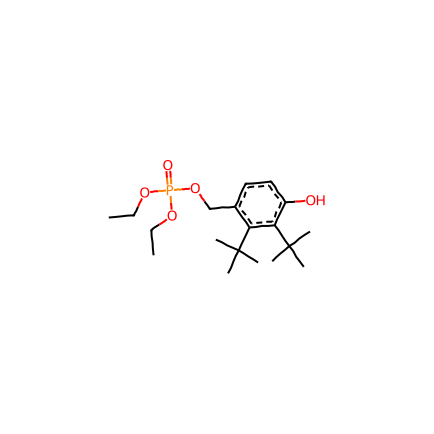 CCOP(=O)(OCC)OCc1ccc(O)c(C(C)(C)C)c1C(C)(C)C